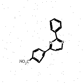 O=C(O)c1ccc(-c2ccnc(-c3ccccc3)n2)cc1